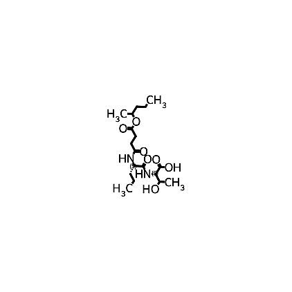 CCCC(C)OC(=O)CCC(=O)N[C@@H](CCC)C(=O)N[C@H](C(=O)O)C(C)O